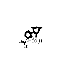 CCC(CC)Nc1cccc(-c2c(C)cc(C)cc2C)c1NC(=O)O